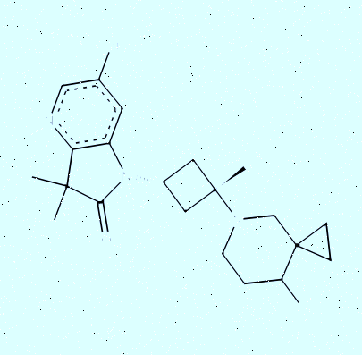 CC1(C)C(=O)N([C@H]2C[C@@](C)(N3CCC(F)C4(CC4)C3)C2)c2cc(Br)cnc21